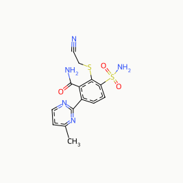 Cc1ccnc(-c2ccc(S(N)(=O)=O)c(SCC#N)c2C(N)=O)n1